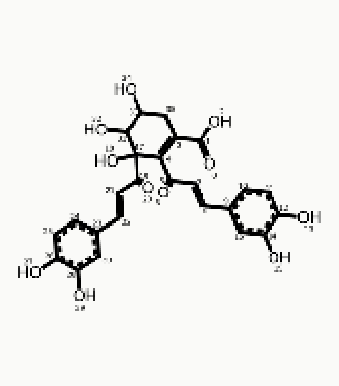 O=C(O)C1=C(C(=O)C=Cc2ccc(O)c(O)c2)C(O)(C(=O)C=Cc2ccc(O)c(O)c2)C(O)C(O)C1